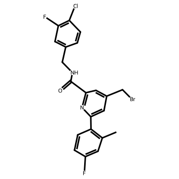 Cc1cc(F)ccc1-c1cc(CBr)cc(C(=O)NCc2ccc(Cl)c(F)c2)n1